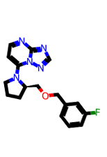 Fc1cccc(COC[C@H]2CCCN2c2ccnc3ncnn23)c1